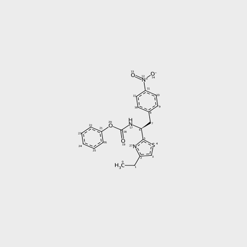 CCc1csc([C@H](Cc2ccc([N+](=O)[O-])cc2)NC(=O)Oc2ccccc2)n1